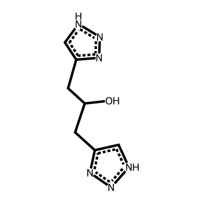 OC(Cc1c[nH]nn1)Cc1c[nH]nn1